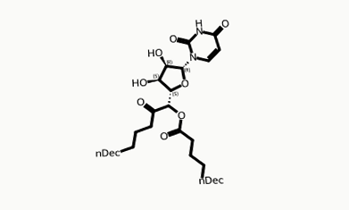 CCCCCCCCCCCCCC(=O)OC(C(=O)CCCCCCCCCCCCC)[C@H]1O[C@@H](n2ccc(=O)[nH]c2=O)[C@H](O)[C@@H]1O